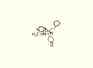 Cc1nccnc1NC(C1CCNCC1)S(=O)(=O)CCc1ccccc1